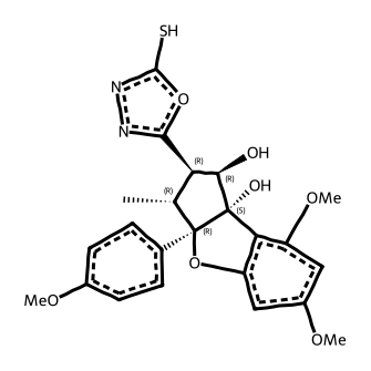 COc1ccc([C@@]23Oc4cc(OC)cc(OC)c4[C@]2(O)[C@H](O)[C@H](c2nnc(S)o2)[C@H]3C)cc1